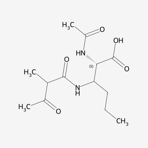 CCCC(NC(=O)C(C)C(C)=O)[C@H](NC(C)=O)C(=O)O